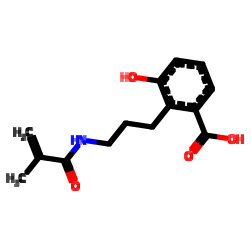 C=C(C)C(=O)NCCCc1c(O)cccc1C(=O)O